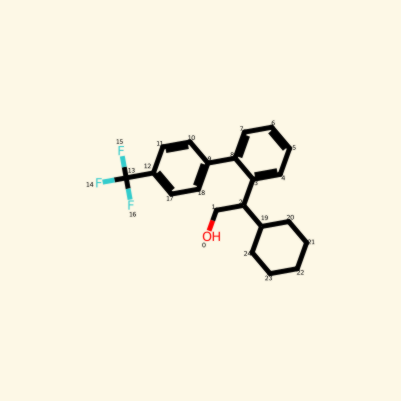 OCC(c1ccccc1-c1ccc(C(F)(F)F)cc1)C1CCCCC1